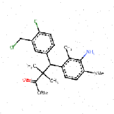 CNc1ccc(C(c2ccc(Cl)c(CCl)c2)C(C)(C)C(=O)OC)c(C)c1N